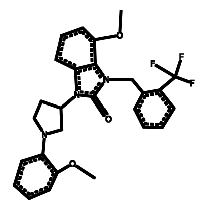 COc1ccccc1N1CCC(n2c(=O)n(Cc3ccccc3C(F)(F)F)c3c(OC)cccc32)C1